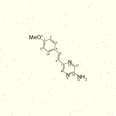 COc1ccc(C=Cc2cnc(N)cn2)cc1